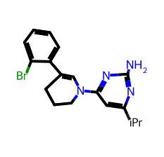 CC(C)c1cc(N2C=C(c3ccccc3Br)CCC2)nc(N)n1